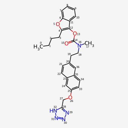 CCCCc1oc2ccccc2c1OC(=O)N(C)CCc1ccc2cc(OCc3nnn[nH]3)ccc2c1